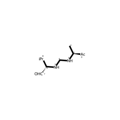 CC(=O)[C@H](C)NCN[C@H](C=O)C(C)C